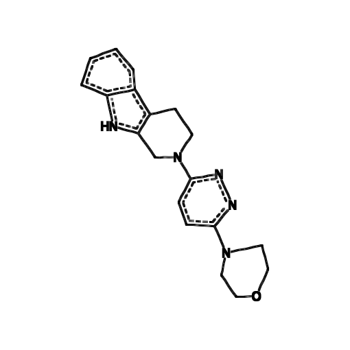 c1ccc2c3c([nH]c2c1)CN(c1ccc(N2CCOCC2)nn1)CC3